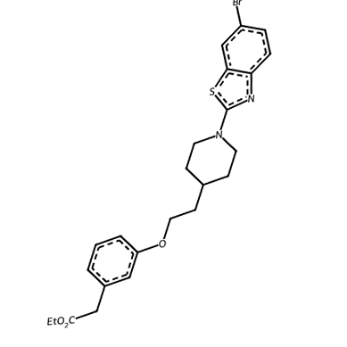 CCOC(=O)Cc1cccc(OCCC2CCN(c3nc4ccc(Br)cc4s3)CC2)c1